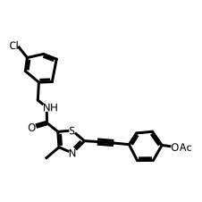 CC(=O)Oc1ccc(C#Cc2nc(C)c(C(=O)NCc3cccc(Cl)c3)s2)cc1